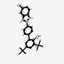 CC(C)(C)c1cc(-c2ccc(-n3nc4ccc(Cl)cc4n3)cc2)c(O)c(C(C)(C)C)c1